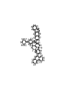 CC1C=CC2(C)C3=C1C(C)(c1ccc(-c4cc5ccccc5c5ccccc45)cc1)C=CC3(C)N(c1ccc3cc4sc5ccccc5c4cc3c1)c1ccc(-c3ccccc3)cc12